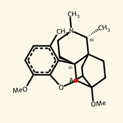 COc1ccc(C)c2c1OC1C3(OC)CCC4(CC3C(C)=O)[C@@H](C)N(C)CC[C@]214